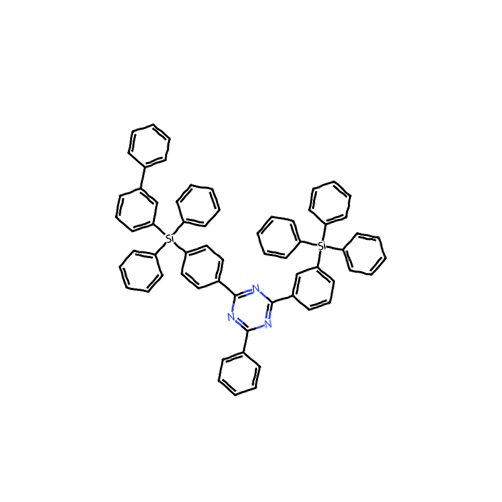 c1ccc(-c2cccc([Si](c3ccccc3)(c3ccccc3)c3ccc(-c4nc(-c5ccccc5)nc(-c5cccc([Si](c6ccccc6)(c6ccccc6)c6ccccc6)c5)n4)cc3)c2)cc1